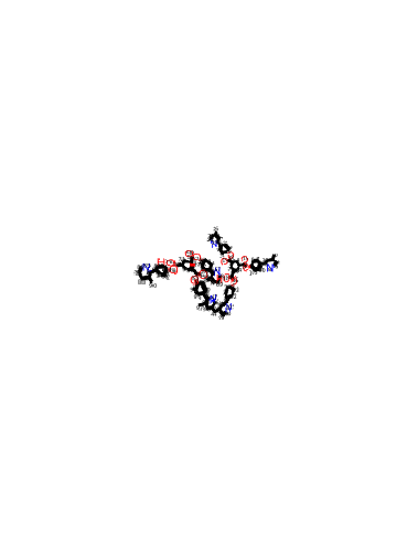 Cc1ccnc(-c2ccc(OC(=O)C3CC(C(=O)Oc4ccc(-c5cc(C)ccn5)cc4)CC(C(O)Oc4ccc(-c5cc(Cc6cnc(-c7ccc(OC(=O)C8CC(C(=O)Oc9ccc(-c%10ncccc%10C)cc9)CC(C(O)Oc9ccc(-c%10ncccc%10C)cc9)C8)cc7)c(C)c6)ccn5)cc4)C3)cc2)c1